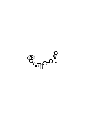 CS(=O)(=O)c1cc(OC[C@@H](O)CNC2CCC(c3ccc(C(=O)N4Cc5ccccc5C4)cc3)CC2)ccc1O